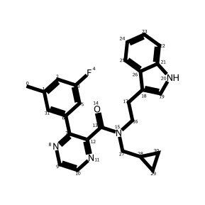 Cc1cc(F)cc(-c2nccnc2C(=O)N(CCc2c[nH]c3ccccc23)CC2CC2)c1